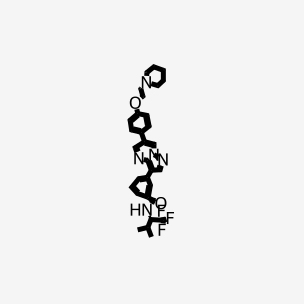 CC(C)[C@@H](NC(=O)c1cccc(-c2cnn3cc(-c4ccc(OCCN5CCCCC5)cc4)cnc23)c1)C(F)(F)F